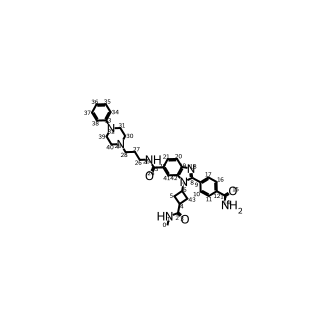 CNC(=O)C1CC(n2c(-c3ccc(C(N)=O)cc3)nc3ccc(C(=O)NCCCN4CCN(c5ccccc5)CC4)cc32)C1